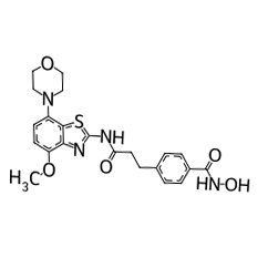 COc1ccc(N2CCOCC2)c2sc(NC(=O)CCc3ccc(C(=O)NO)cc3)nc12